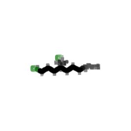 CCCCCCCCCCCCCl.[Cl-].[Na+]